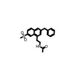 CC(=O)NCCc1cc(Cc2ccccc2)cc2ccc(S(C)(=O)=O)cc12